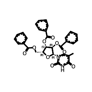 Cc1cn([C@@H]2O[C@H](COC(=O)c3ccccc3)[C@H](OC(=O)c3ccccc3)[C@H]2OC(=O)c2ccccc2)c(=O)[nH]c1=O